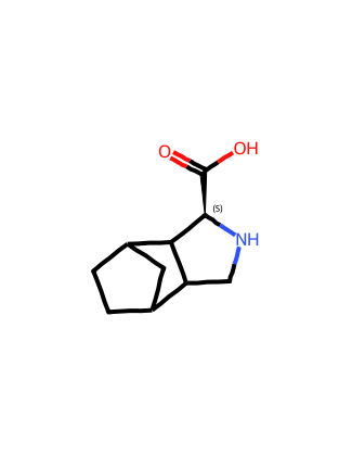 O=C(O)[C@H]1NCC2C3CCC(C3)C21